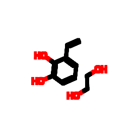 C=Cc1cccc(O)c1O.OCCO